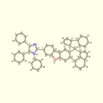 c1ccc(-c2nc(-c3ccc4c(c3)oc3cc5c(cc34)C3(c4ccccc4-c4ccccc43)c3cccc4cccc-5c34)n(-c3ccccc3)c2-c2ccccc2)cc1